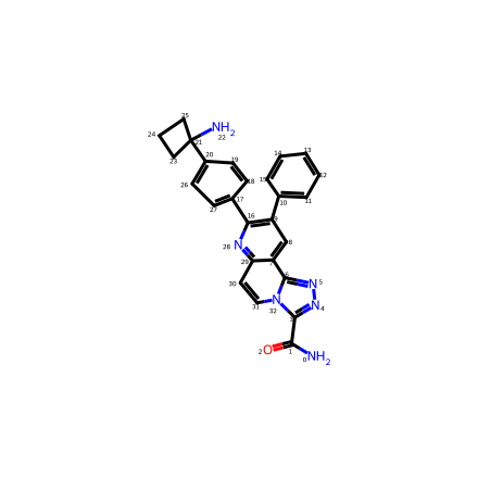 NC(=O)c1nnc2c3cc(-c4ccccc4)c(-c4ccc(C5(N)CCC5)cc4)nc3ccn12